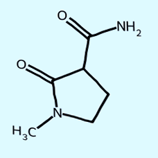 CN1CCC(C(N)=O)C1=O